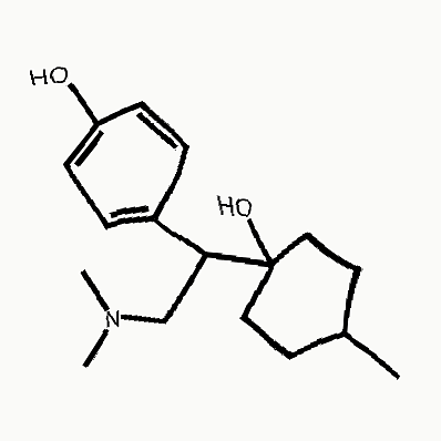 CC1CCC(O)(C(CN(C)C)c2ccc(O)cc2)CC1